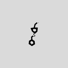 [CH2]Cc1ccc(SCc2ccccc2)cc1